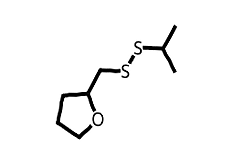 CC(C)SSCC1CCCO1